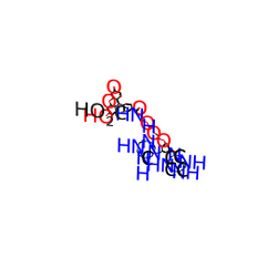 O=C(NCCOCCOCCOc1cc(CN2CCNCCNCCNCC2)cc(CN2CCNCCNCCNCC2)c1)c1ccc(-c2c3ccc(=O)cc-3oc3cc(O)ccc23)c(C(=O)O)c1